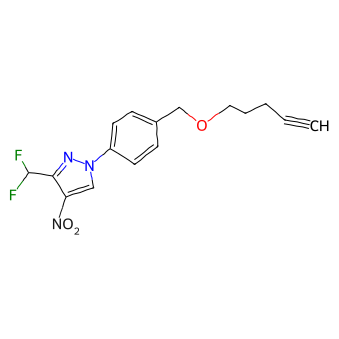 C#CCCCOCc1ccc(-n2cc([N+](=O)[O-])c(C(F)F)n2)cc1